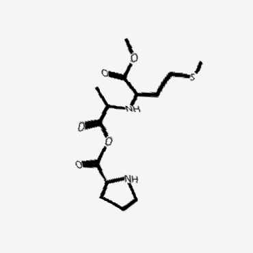 COC(=O)C(CCSC)NC(C)C(=O)OC(=O)[C@@H]1CCCN1